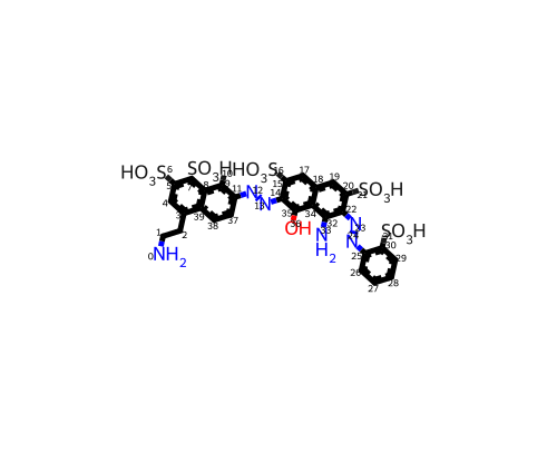 NCCc1cc(S(=O)(=O)O)cc2c(S(=O)(=O)O)c(N=Nc3c(S(=O)(=O)O)cc4cc(S(=O)(=O)O)c(N=Nc5ccccc5S(=O)(=O)O)c(N)c4c3O)ccc12